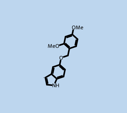 COc1ccc(COc2ccc3[nH]c[c]c3c2)c(OC)c1